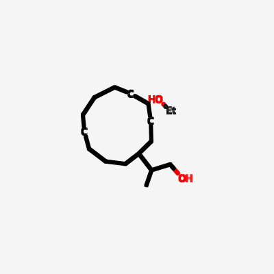 CC(CO)C1CCCCCCCCCCC1.CCO